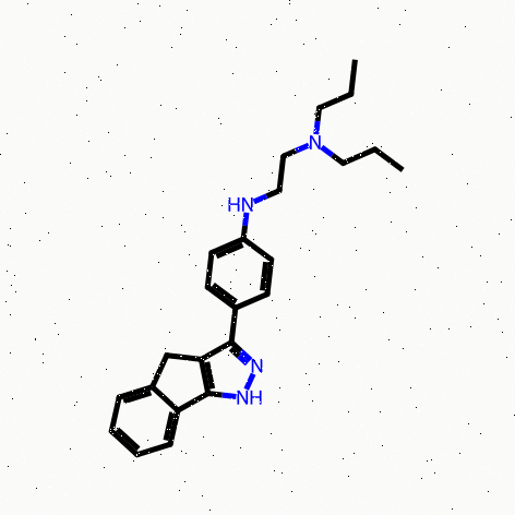 CCCN(CCC)CCNc1ccc(-c2n[nH]c3c2Cc2ccccc2-3)cc1